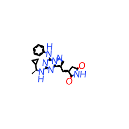 C[C@H](Nc1nc(Nc2ccccc2)n2ncc(/C=C3\CC(=O)NC3=O)c2n1)C1CC1